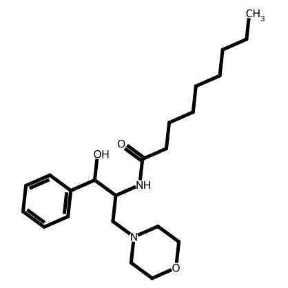 CCCCCCCCC(=O)NC(CN1CCOCC1)C(O)c1ccccc1